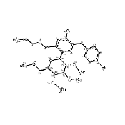 C=CCOCc1cc(Cl)c(Cc2ccc(CC)cc2)cc1[C@@H]1O[C@H](COCCCC)[C@@H](OCCCC)[C@H](OCCCC)[C@H]1OCCCC